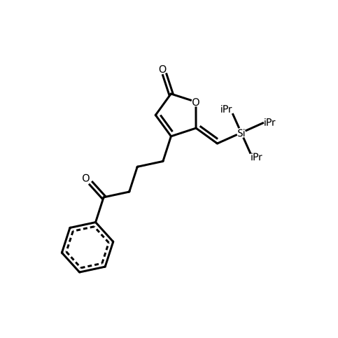 CC(C)[Si](/C=C1\OC(=O)C=C1CCCC(=O)c1ccccc1)(C(C)C)C(C)C